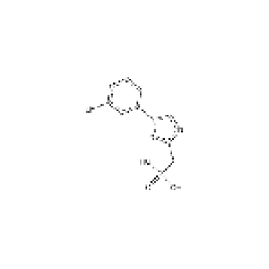 O=P(O)(O)Cc1ncc(-c2cccc(Cl)c2)o1